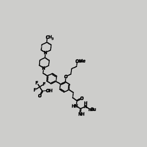 CCCCNC(=N)NC(=O)CCc1ccc(-c2ccc(CN3CCC(N4CCC(C)CC4)CC3)cc2)c(OCCCOC)c1.O=C(O)C(F)(F)F